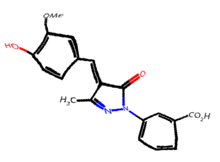 COc1cc(/C=C2/C(=O)N(c3cccc(C(=O)O)c3)N=C2C)ccc1O